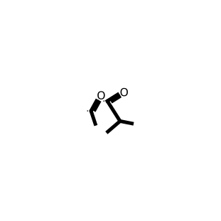 CC(C)[C]=O.C[C]=O